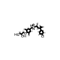 Cc1cc(-c2noc(C(F)=CC3(c4ccc(Cl)cc4)CC3)n2)cc(C)c1OC[C@@H](O)CO